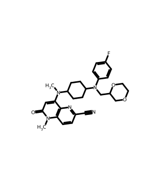 CN(c1cc(=O)n(C)c2ccc(C#N)nc12)C1CCC(N(CC2COCCO2)c2ccc(F)cc2)CC1